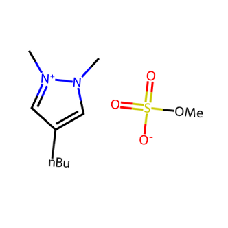 CCCCc1cn(C)[n+](C)c1.COS(=O)(=O)[O-]